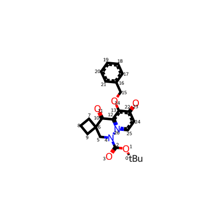 CC(C)(C)OC(=O)N1CC2(CCC2)C(=O)c2c(OCc3ccccc3)c(=O)ccn21